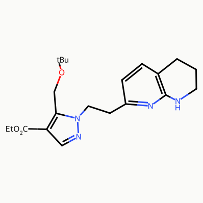 CCOC(=O)c1cnn(CCc2ccc3c(n2)NCCC3)c1COC(C)(C)C